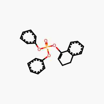 O=P(OC1=CCCc2ccccc21)(Oc1ccccc1)Oc1ccccc1